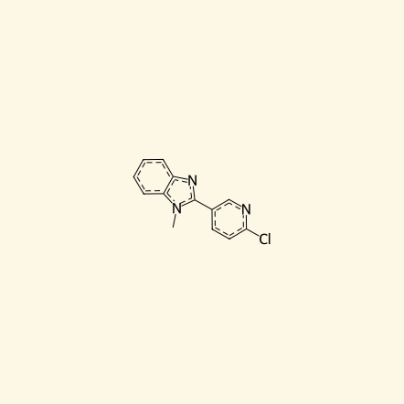 Cn1c(-c2ccc(Cl)nc2)nc2ccccc21